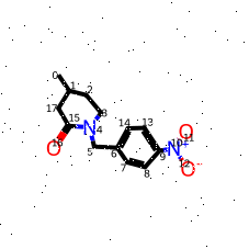 CC1CCN(Cc2ccc([N+](=O)[O-])cc2)C(=O)C1